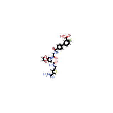 N=C(N)c1csc(CNC(=O)[C@@H]2CC3(CN2C(=O)CNC(=O)c2ccc(-c4ccc(F)c(C(=O)O)c4)cc2)OCCO3)c1